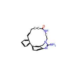 NC1=Nc2ccc3cc2CN1CCNC(=O)CCC/C=C/c1ccccc1-3